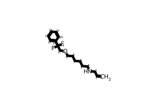 C=CCNCCCCCCOCC(F)(F)c1ccccc1